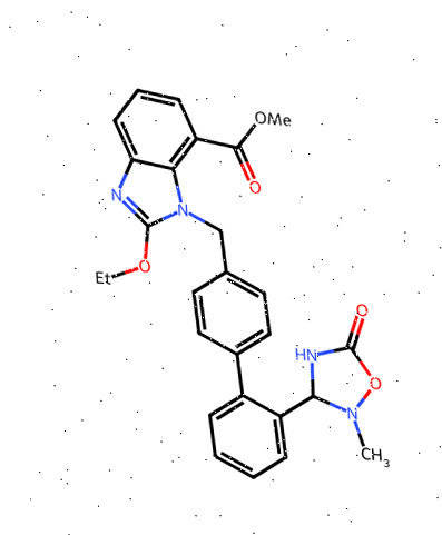 CCOc1nc2cccc(C(=O)OC)c2n1Cc1ccc(-c2ccccc2C2NC(=O)ON2C)cc1